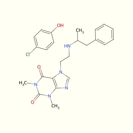 CC(Cc1ccccc1)NCCn1cnc2c1c(=O)n(C)c(=O)n2C.Oc1ccc(Cl)cc1